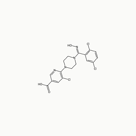 O=C(O)c1cnc(N2CCN(/C(=N\O)c3cc(Cl)ccc3Cl)CC2)c(Cl)c1